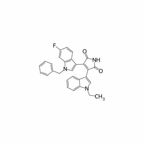 CCn1cc(C2=C(c3cn(Cc4ccccc4)c4cc(F)ccc34)C(=O)NC2=O)c2ccccc21